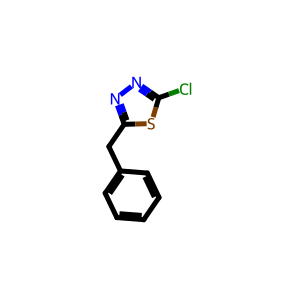 Clc1nnc(Cc2ccccc2)s1